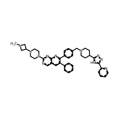 CN1CC(N2CCN(c3ncc4cc(-c5ccccc5)c(-c5ccc(CN6CCC(c7nnc(-c8ccccn8)[nH]7)CC6)cc5)nc4n3)CC2)C1